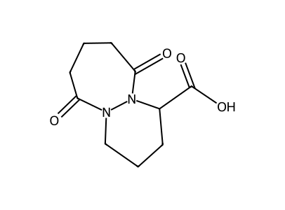 O=C(O)C1CCCN2C(=O)CCCC(=O)N12